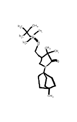 CC12CCC(N3CC(CO[Si](C)(C)C(C)(C)C)C(C)(C)C3=O)(CC1)CC2